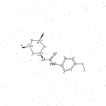 CCc1ccc(NC(=O)O[C@@H]2C[C@H](C)C[C@H](C)C2)cc1